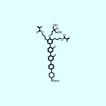 C=C(C)C(=O)OCCCc1cc(-c2ccc(-c3ccc(-c4ccc(C5CCC(CCCCC)CC5)cc4)cc3F)cc2F)cc(CCCOC(=O)C(=C)C)c1OCCC(CC)(CO)CO